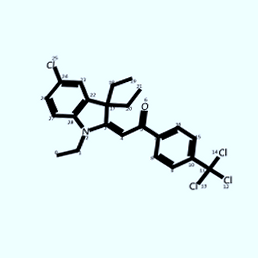 CCN1/C(=C/C(=O)c2ccc(C(Cl)(Cl)Cl)cc2)C(CC)(CC)c2cc(Cl)ccc21